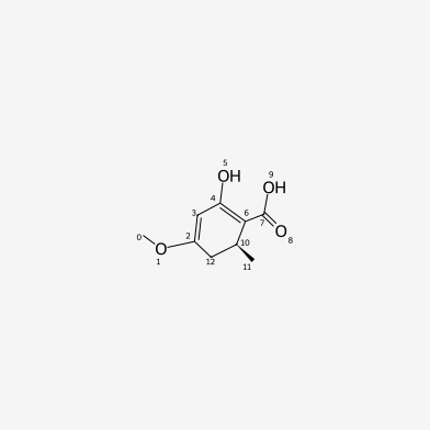 COC1=CC(O)=C(C(=O)O)[C@@H](C)C1